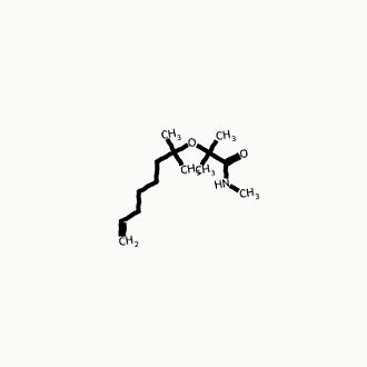 C=CCCCCC(C)(C)OC(C)(C)C(=O)NC